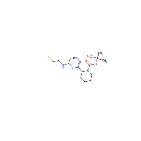 CC(C)(C)OC(=O)N1CCCCC1c1nccc(NCCF)n1